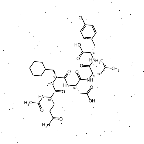 CC(=O)N[C@@H](CCC(N)=O)C(=O)N[C@@H](CC1CCCCC1)C(=O)N[C@@H](CC(=O)O)C(=O)N[C@@H](CC(C)C)C(=O)N[C@@H](Cc1ccc(Cl)cc1)C(=O)O